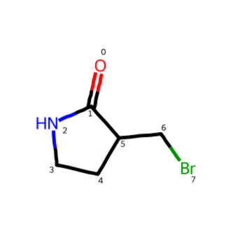 O=C1NCCC1CBr